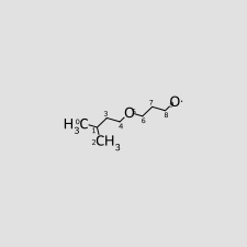 CC(C)CCOCCC[O]